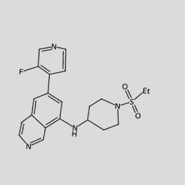 CCS(=O)(=O)N1CCC(Nc2cc(-c3ccncc3F)cc3ccncc23)CC1